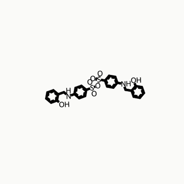 O=S(=O)(OS(=O)(=O)c1ccc(NCc2ccccc2O)cc1)c1ccc(NCc2ccccc2O)cc1